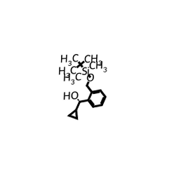 CC(C)(C)[Si](C)(C)OCc1ccccc1[C@@H](O)C1CC1